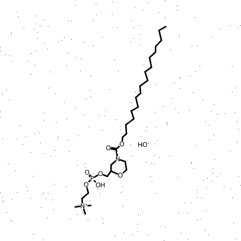 CCCCCCCCCCCCCCCCCCOC(=O)N1CCOC(COP(=O)(O)OCC[N+](C)(C)C)C1.[OH-]